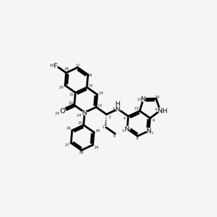 CC[C@@H](Nc1ncnc2[nH]cnc12)c1cc2ccc(F)cc2c(=O)n1-c1ccccc1